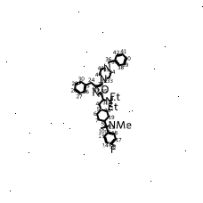 CCN(CC)C(CC1CCC(C(C)(NC)c2ccc(F)cc2)CC1)c1nc(Cc2ccccc2)c(N2CCN(Cc3ccccc3)CC2)o1